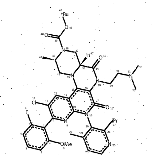 COc1cccc(F)c1-c1nc2c(cc1Cl)c1c(c(=O)n2-c2c(C)ccnc2C(C)C)N(CCN(C)C)C(=O)[C@H]2CN(C(=O)OC(C)(C)C)[C@H](C)CN12